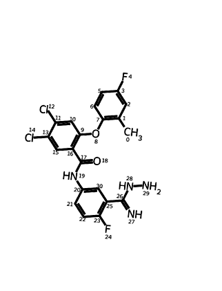 Cc1cc(F)ccc1Oc1cc(Cl)c(Cl)cc1C(=O)Nc1ccc(F)c(C(=N)NN)c1